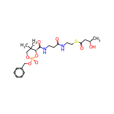 C[C@@H](O)CC(=O)SCCNC(=O)CCNC(=O)[C@H]1OP(=O)(OCc2ccccc2)OCC1(C)C